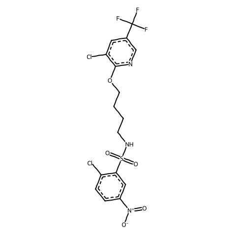 O=[N+]([O-])c1ccc(Cl)c(S(=O)(=O)NCCCCOc2ncc(C(F)(F)F)cc2Cl)c1